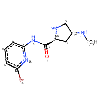 O=C(O)N[C@H]1CN[C@H](C(=O)Nc2cccc(Br)n2)C1